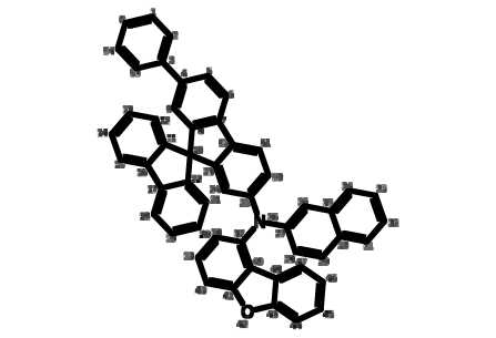 c1ccc(-c2ccc3c(c2)C2(c4ccccc4-c4ccccc42)c2cc(N(c4ccc5ccccc5c4)c4cccc5oc6ccccc6c45)ccc2-3)cc1